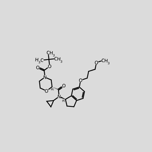 COCCCOc1ccc2c(c1)[C@H](N(C(=O)[C@H]1CN(C(=O)OC(C)(C)C)CCO1)C1CC1)CC2